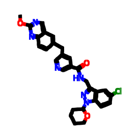 COc1ncc2cc(Cc3cncc(C(=O)NCc4nn(C5CCCCO5)c5ccc(Cl)cc45)c3)ccc2n1